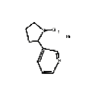 CN1CCCC1c1cccnc1.[Ni]